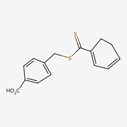 O=C(O)c1ccc(CSC(=S)C2=CC=CCC2)cc1